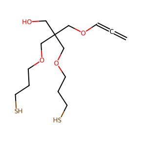 C=C=COCC(CO)(COCCCS)COCCCS